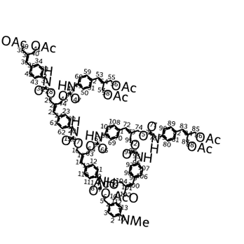 CNc1ccc(COC(=O)Nc2ccc(C=C(COC(=O)Nc3ccc(C=C(COC(=O)Nc4ccc(C=C(COC(C)=O)COC(C)=O)cc4)COC(=O)Nc4ccc(C=C(COC(C)=O)COC(C)=O)cc4)cc3)COC(=O)Nc3ccc(C=C(COC(=O)Nc4ccc(C=C(COC(C)=O)COC(C)=O)cc4)COC(=O)Nc4ccc(C=C(COC(C)=O)COC(C)=O)cc4)cc3)cc2)cc1